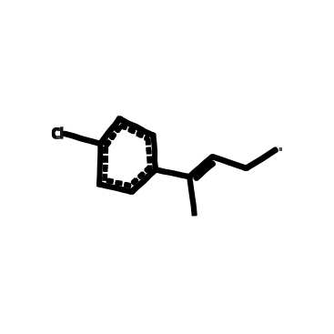 [CH2]CC=C(C)c1ccc(Cl)cc1